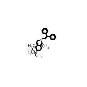 CN(C)[C@H]1CC[C@]2(C)CN(CC=C(c3ccccc3)c3ccccc3)CC=C2C1(C)C